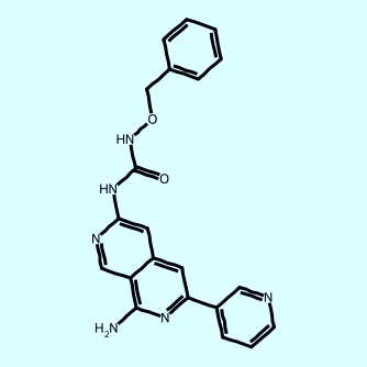 Nc1nc(-c2cccnc2)cc2cc(NC(=O)NOCc3ccccc3)ncc12